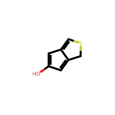 OC1=CC2=CSCC2=C1